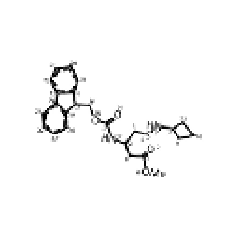 COC(=O)CC(CSNC1CCC1)NC(=O)OCC1c2ccccc2-c2ccccc21